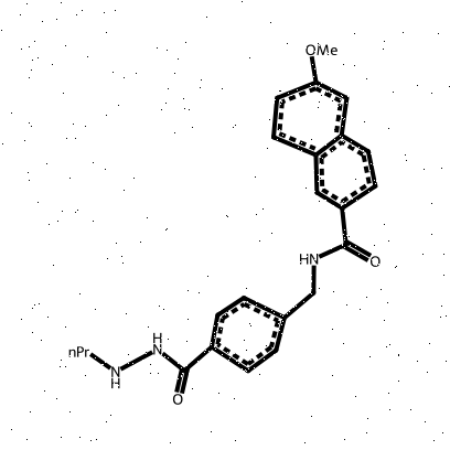 CCCNNC(=O)c1ccc(CNC(=O)c2ccc3cc(OC)ccc3c2)cc1